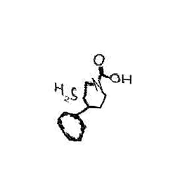 O=C(O)N1CCC(c2ccccc2)CC1.S